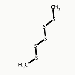 CSSSSSC